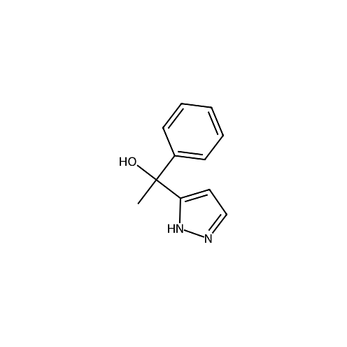 CC(O)(c1ccccc1)c1ccn[nH]1